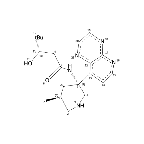 C[C@@H]1CNC[C@](NC(=O)C[C@H](O)C(C)(C)C)(c2ccnc3nccnc23)C1